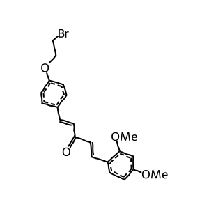 COc1ccc(C=CC(=O)C=Cc2ccc(OCCBr)cc2)c(OC)c1